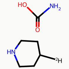 NC(=O)O.[2H]C1CCNCC1